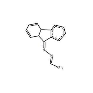 C/C=N/N=C1\c2ccccc2C2C=CC=CC12